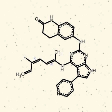 C=C/C(F)=C\C=C(/C)Nc1nc(Nc2ccc3c(c2)CCC(=O)N3)nc2[nH]cc(-c3ccncc3)c12